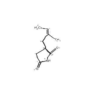 C/C=C(/C)CC1CC(=O)NC1=O